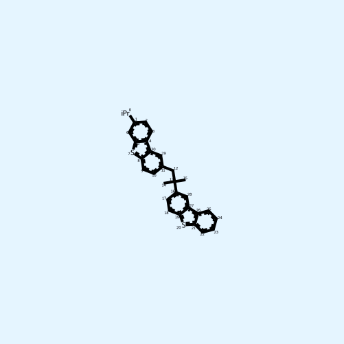 CC(C)c1ccc2c(c1)sc1ccc(CC(C)(C)c3ccc4sc5ccccc5c4c3)cc12